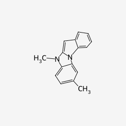 Cc1ccc2c(c1)n1c3ccccc3cc1n2C